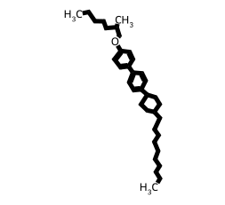 CCCCCCCCCCC1CCC(c2ccc(-c3ccc(OCC(C)CCCCC)cc3)cc2)CC1